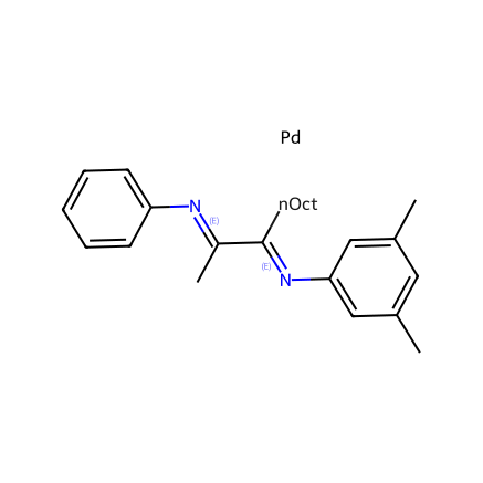 CCCCCCCCC(=N\c1cc(C)cc(C)c1)/C(C)=N/c1ccccc1.[Pd]